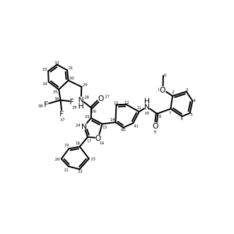 COc1ccccc1C(=O)Nc1ccc(-c2oc(-c3ccccc3)nc2C(=O)NCc2ccccc2C(F)(F)F)cc1